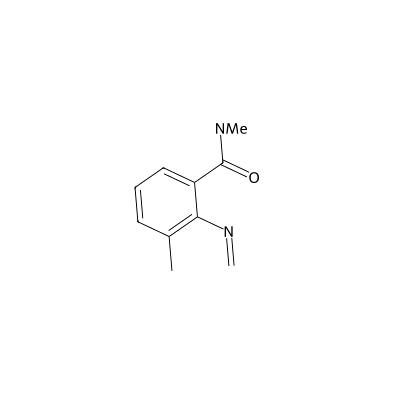 C=Nc1c(C)cccc1C(=O)NC